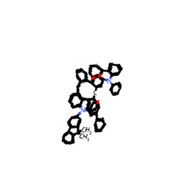 CC1(C)c2ccccc2-c2ccc(N(c3cccc(-c4ccccc4)c3)c3cccc4c3-c3ccccc3Cc3cc(N(c5ccccc5)c5ccccc5-c5ccccc5)ccc3-c3ccccc3C4)cc21